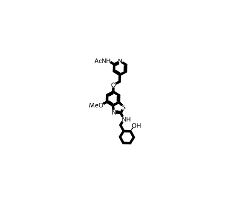 COc1cc(OCc2ccnc(NC(C)=O)c2)cc2sc(NCC3CCCC[C@H]3O)nc12